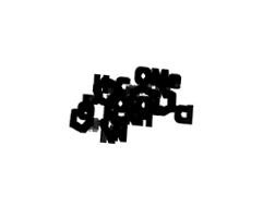 CO[C@H](c1ncc(Cl)cn1)[C@H](C)S(=O)(=O)Nc1nnc([C@@H]2CCCO2)n1-c1ccccc1F